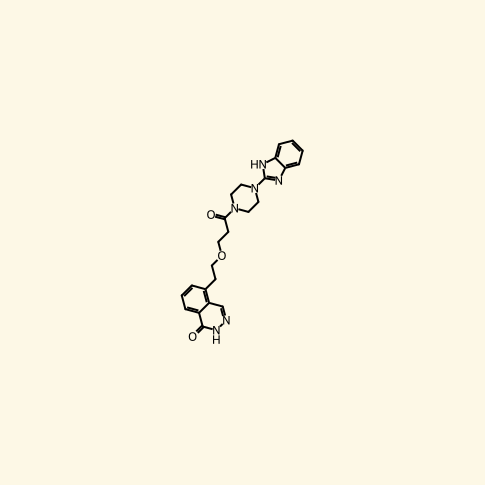 O=C(CCOCCc1cccc2c(=O)[nH]ncc12)N1CCN(c2nc3ccccc3[nH]2)CC1